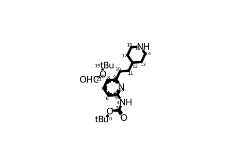 CC(C)(C)OC(=O)Nc1cccc(CCC2CCNCC2)n1.CC(C)(C)OC=O